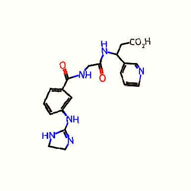 O=C(O)CC(NC(=O)CNC(=O)c1cccc(NC2=NCCN2)c1)c1cccnc1